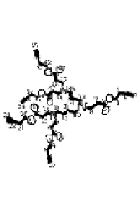 C#CCCOC(=O)CCN(CCCCN(CCC(=O)OCCC#C)CCC(=O)OCCC#C)CCCN(CCC(=O)OCCC#C)CCC(=O)OCCC#C